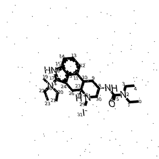 CCN(CC)C(=O)N[C@H]1CC2c3cccc4[nH]c([N+](C)(CC)CC)c(c34)C[C@H]2N(C)C1.[I-]